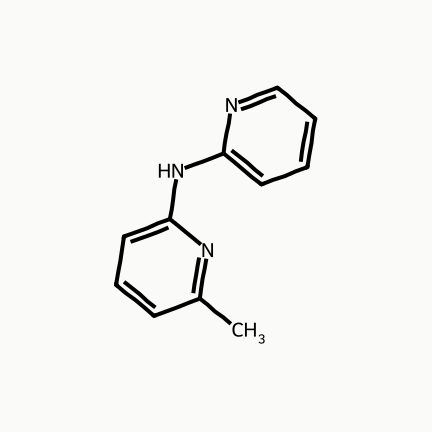 Cc1cccc(Nc2ccccn2)n1